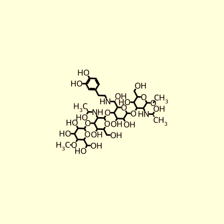 COC1OC(CO)C(O)C(OC2OC([C@@H](O)NCCc3ccc(O)c(O)c3)C(OC3OC(CO)C(O)C(OC4OC(C(O)O)C(OC)C(O)C4O)C3N[C@H](C)O)C(O)C2O)C1N[C@H](C)O